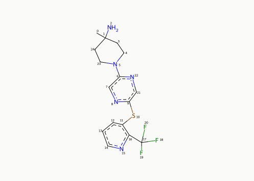 CC1(N)CCN(c2cnc(Sc3cccnc3C(F)(F)F)cn2)CC1